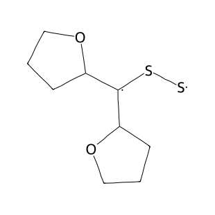 [S]S[C](C1CCCO1)C1CCCO1